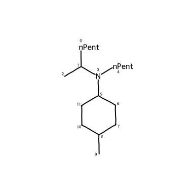 CCCCCC(C)N(CCCCC)C1CCC(C)CC1